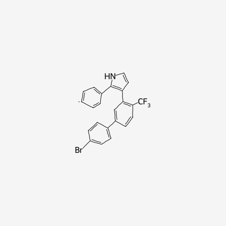 FC(F)(F)c1ccc(-c2ccc(Br)cc2)cc1-c1cc[nH]c1-c1cc[c]cc1